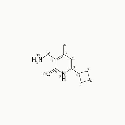 Cc1cc(C2CCC2)[nH]c(=O)c1CN